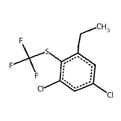 CCc1cc(Cl)cc(Cl)c1SC(F)(F)F